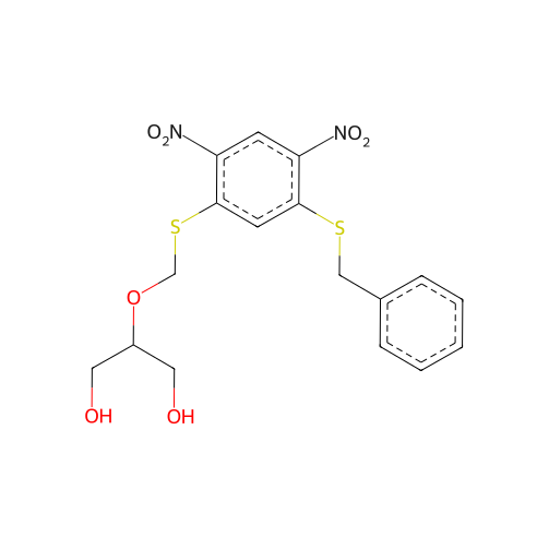 O=[N+]([O-])c1cc([N+](=O)[O-])c(SCc2ccccc2)cc1SCOC(CO)CO